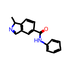 CC1N=Cc2cc(C(=O)Nc3ccccc3)ccc21